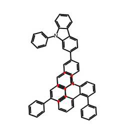 c1ccc(-c2ccc(N(c3ccc(-c4ccc5c6ccccc6n(-c6ccccc6)c5c4)cc3)c3cccc(-c4ccccc4)c3-c3ccccc3-c3ccccc3)cc2)cc1